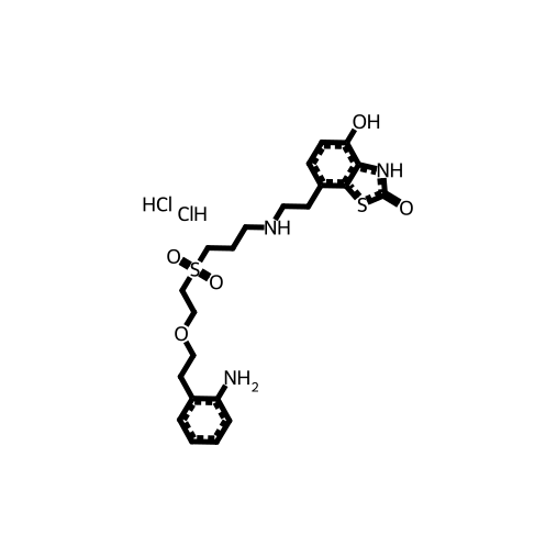 Cl.Cl.Nc1ccccc1CCOCCS(=O)(=O)CCCNCCc1ccc(O)c2[nH]c(=O)sc12